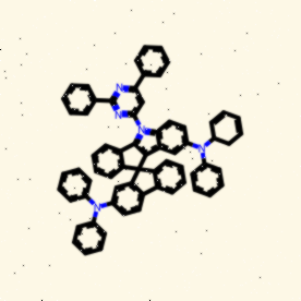 C1=CCC(N(c2ccccc2)c2ccc3c(c2)c2c(n3-c3cc(-c4ccccc4)nc(-c4ccccc4)n3)-c3ccccc3C23c2ccccc2-c2ccc(N(c4ccccc4)c4ccccc4)cc23)C=C1